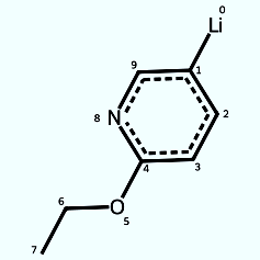 [Li][c]1ccc(OCC)nc1